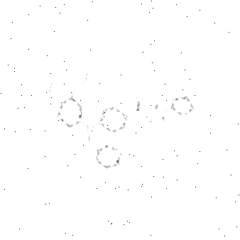 CCOc1cc(N(Cc2cccnc2)c2ccc(C(=O)NS(=O)(=O)c3cccs3)cc2)ccc1OC